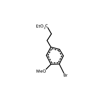 CCOC(=O)CCc1ccc(Br)c(OC)c1